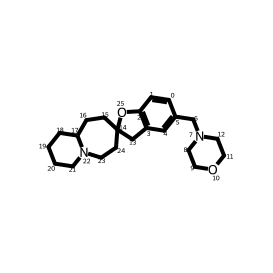 c1cc2c(cc1CN1CCOCC1)CC1(CCC3CCCCN3CC1)O2